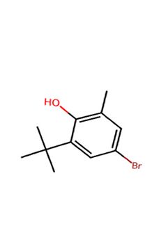 Cc1cc(Br)cc(C(C)(C)C)c1O